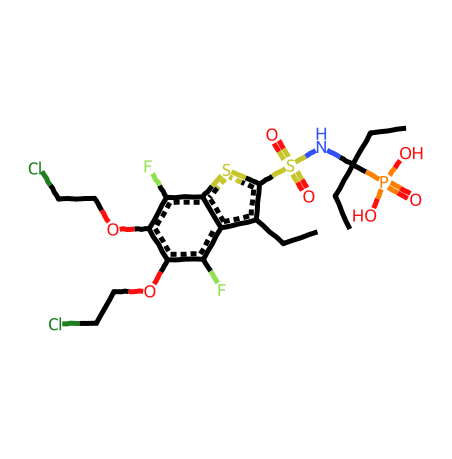 CCc1c(S(=O)(=O)NC(CC)(CC)P(=O)(O)O)sc2c(F)c(OCCCl)c(OCCCl)c(F)c12